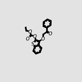 CCOC(=O)Oc1sc2ccccc2c1OCC(=O)c1ccccc1